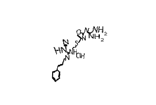 Cl.N#CNC(=NCC=Cc1ccccc1)NCCSCc1coc(N=C(N)N)n1